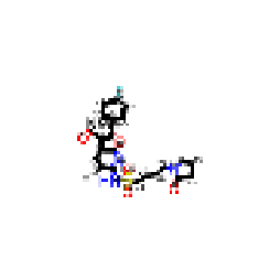 CCc1cc2c(C(=O)NC)c(-c3ccc(F)cc3)oc2nc1NS(=O)(=O)CCCCN1CCCC1=O